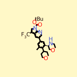 Cc1cc(-c2cnc3c(c2)c(C(F)(F)F)cn3C(=O)OC(C)(C)C)cc([C@@H]2COCCN2)c1C1CCOCC1